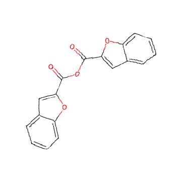 O=C(OC(=O)c1cc2ccccc2o1)c1cc2ccccc2o1